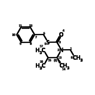 CCN(C(=O)SCc1ccccc1)[C@@H](C)C(C)C